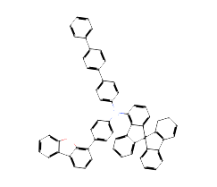 C1=CC2=C(CC1)C1(c3ccccc32)c2ccccc2-c2c(N(c3ccc(-c4ccc(-c5ccccc5)cc4)cc3)c3ccc(-c4cccc5c4oc4ccccc45)cc3)cccc21